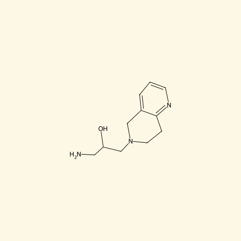 NCC(O)CN1CCc2ncccc2C1